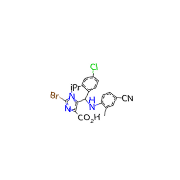 Cc1cc(C#N)ccc1NC(c1ccc(Cl)cc1)c1c(C(=O)O)nc(Br)n1C(C)C